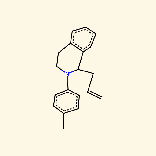 C=CCC1c2ccccc2CCN1c1ccc(C)cc1